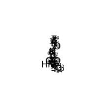 O=C(CCn1ccc2cc(-n3c(=O)[nH]c4sc5c(c4c3=O)CCCCC5)ccc21)N1CCC2(CC2)C1